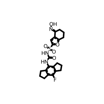 O=C(Nc1c2c(c(F)c3c1CCC3)CCC2)NS(=O)(=O)c1cc2c(o1)CCC/C2=N\O